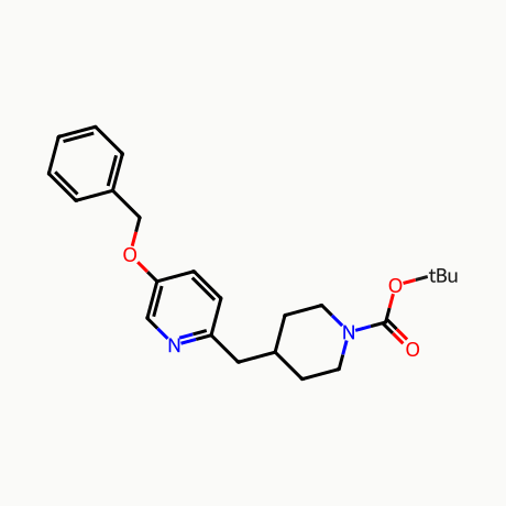 CC(C)(C)OC(=O)N1CCC(Cc2ccc(OCc3ccccc3)cn2)CC1